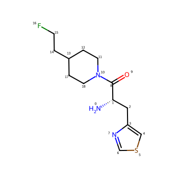 N[C@@H](Cc1cscn1)C(=O)N1CCC(CCF)CC1